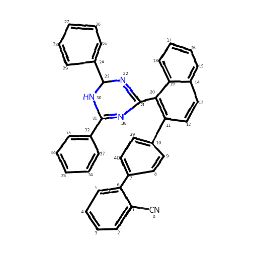 N#Cc1ccccc1-c1ccc(-c2ccc3ccccc3c2C2=NC(c3ccccc3)NC(c3ccccc3)=N2)cc1